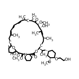 CO[C@@H]1C[C@H](CC(C)[C@@H]2CC[C@H](C)/C=C(\C)[C@@H](O)[C@@H](OC)C(=O)[C@H](C)C[C@H](C)/C=C/C=C/C=C(\C)CC[C@@H]3CC[C@@H](C)[C@@](O)(O3)C(=O)C(=O)N3CCCC[C@H]3C(=O)O2)CC[C@H]1OCCO